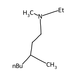 CCCCC(C)CCN(C)CC